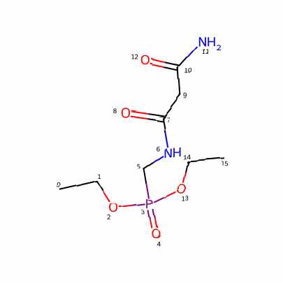 CCOP(=O)(CNC(=O)CC(N)=O)OCC